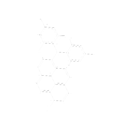 Cc1cc(C)c(B(C2=C3C=CC4=C5C(=CC=C(C=C2)C35)C(C(=O)O)C=C4)c2c(C)cc(C)cc2C)c(C)c1